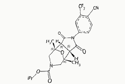 CC(C)OC(=O)N1C[C@@]2(C)O[C@@](C)(C1)[C@H]1C(=O)N(c3ccc(C#N)c(C(F)(F)F)c3)C(=O)[C@H]12